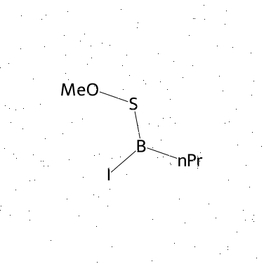 CCCB(I)SOC